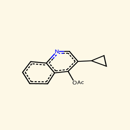 CC(=O)Oc1c(C2CC2)cnc2ccccc12